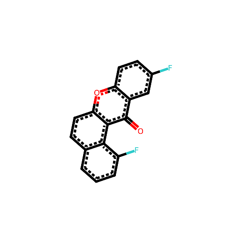 O=c1c2cc(F)ccc2oc2ccc3cccc(F)c3c12